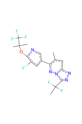 Cc1cc2nnc(C(C)(F)F)n2nc1-c1cnc(OC(C)(C)C(F)(F)F)c(F)c1